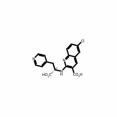 O=C(O)c1cc2cc(Cl)ccc2nc1N[C@@H](Cc1ccncc1)C(=O)O